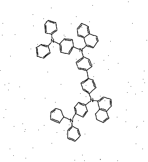 C1=CCC(N(c2ccccc2)c2ccc(N(c3ccc(-c4ccc(N(c5ccc(N(c6ccccc6)c6ccccc6)cc5)c5cccc6ccccc56)cc4)cc3)c3cccc4c3CCC=C4)cc2)C=C1